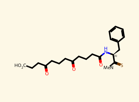 CNC(=S)[C@H](Cc1ccccc1)NC(=O)CCCC(=O)CCCC(=O)CCC(=O)O